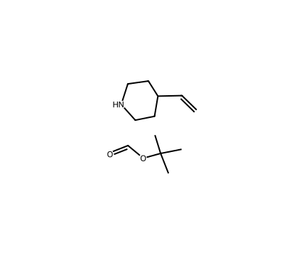 C=CC1CCNCC1.CC(C)(C)OC=O